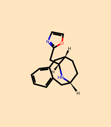 c1ccc2c(c1)C[C@H]1CC[C@@H](C2)[C@@H](Cc2ncco2)N1